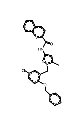 Cc1cc(NC(=O)c2ccc3ccccc3n2)nn1Cc1cc(Cl)ccc1OCc1ccccc1